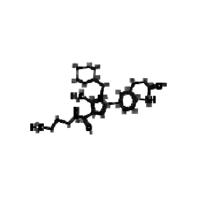 CCCCNC(=O)c1cc(-c2ccc3c(c2)CCC(=O)N3)n(CC2CCCCC2)c1C